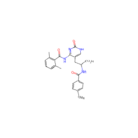 COc1ccc(C(=O)NC(Cc2c[nH]c(=O)nc2NC(=O)c2c(C)cccc2C)C(=O)O)cc1